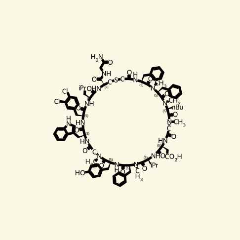 CCCC[C@H]1C(=O)N(C)CC(=O)N[C@@H](CC(=O)O)C(=O)N[C@@H](C(C)C)C(=O)N(C)[C@@H](Cc2ccccc2)C(=O)N[C@@H](Cc2ccc(O)cc2)C(=O)N(C)CC(=O)N[C@@H](Cc2c[nH]c3ccccc23)C(=O)N[C@@H](Cc2ccc(Cl)c(Cl)c2)C(=O)N[C@@H](CC(C)C)C(=O)N[C@H](C(=O)NCC(N)=O)CSCC(=O)N[C@@H](Cc2ccccc2)C(=O)N(C)[C@@H](Cc2ccccc2)C(=O)N1C